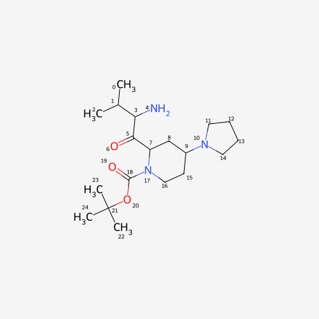 CC(C)C(N)C(=O)C1CC(N2CCCC2)CCN1C(=O)OC(C)(C)C